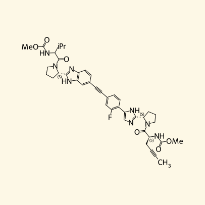 CC#CC[C@H](NC(=O)OC)C(=O)N1CCC[C@H]1c1ncc(-c2ccc(C#Cc3ccc4nc([C@@H]5CCCN5C(=O)C(NC(=O)OC)C(C)C)[nH]c4c3)cc2F)[nH]1